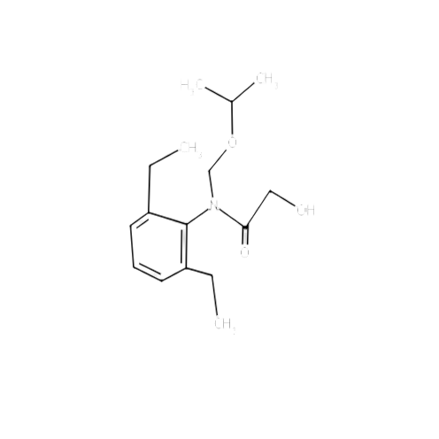 CCc1cccc(CC)c1N(COC(C)C)C(=O)CO